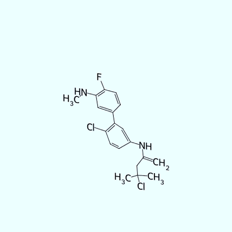 C=C(CC(C)(C)Cl)Nc1ccc(Cl)c(-c2ccc(F)c(NC)c2)c1